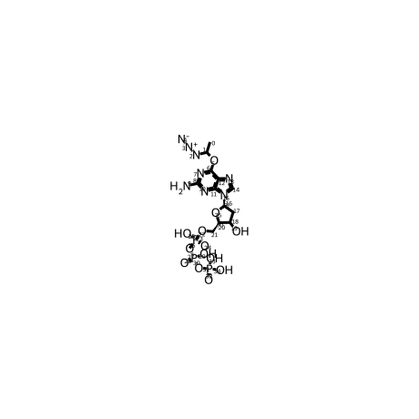 CC(N=[N+]=[N-])Oc1nc(N)nc2c1ncn2[C@H]1CC(O)[C@@H](COP(=O)(O)OP(=O)(O)OP(=O)(O)O)O1